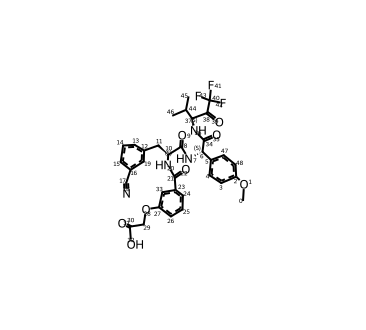 COc1ccc([C@H](NC(=O)[C@H](Cc2cccc(C#N)c2)NC(=O)c2cccc(OCC(=O)O)c2)C(=O)N[C@H](C(=O)C(F)(F)F)C(C)C)cc1